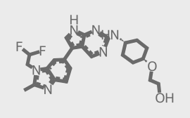 Cc1nc2ccc(-c3c[nH]c4nc(N[C@H]5CC[C@@H](OCCO)CC5)ncc34)cc2n1CC(F)F